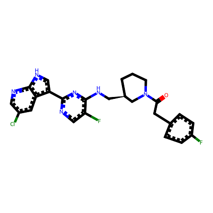 O=C(Cc1ccc(F)cc1)N1CCC[C@H](CNc2nc(-c3c[nH]c4ncc(Cl)cc34)ncc2F)C1